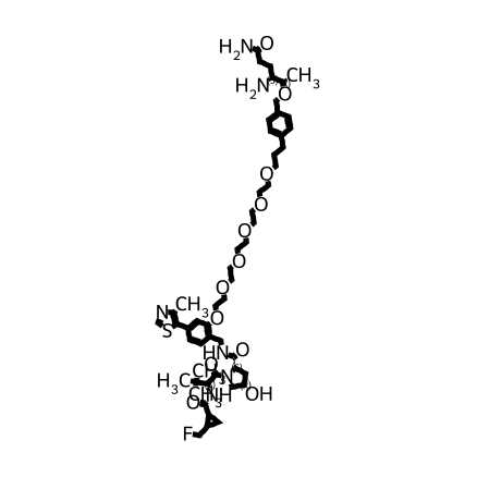 Cc1ncsc1-c1ccc(CNC(=O)[C@@H]2C[C@@H](O)CN2C(=O)[C@@H](NC(=O)C2CC2CF)C(C)(C)C)c(OCCOCCOCCOCCOCCOCCCc2ccc(CO[C@H](C)[C@@H](N)CCC(N)=O)cc2)c1